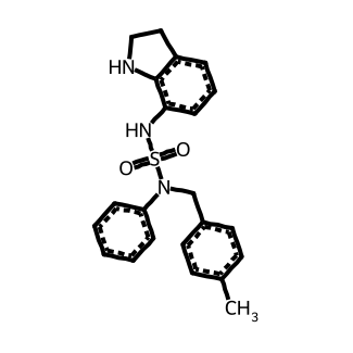 Cc1ccc(CN(c2ccccc2)S(=O)(=O)Nc2cccc3c2NCC3)cc1